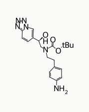 CC(C)(C)OC(=O)N(CCc1ccc(N)cc1)C[C@H](O)c1ccc2nnnn2c1